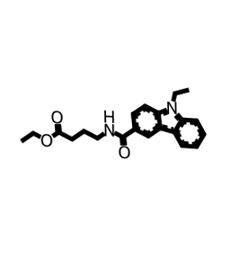 CCOC(=O)CCCNC(=O)c1ccc2c(c1)c1ccccc1n2CC